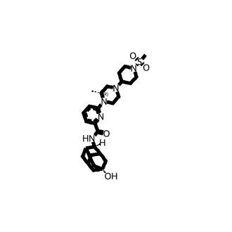 C[C@@H]1CN(C2CCN(S(C)(=O)=O)CC2)CCN1c1cccc(C(=O)N[C@H]2C3CC4CC2C[C@](O)(C4)C3)n1